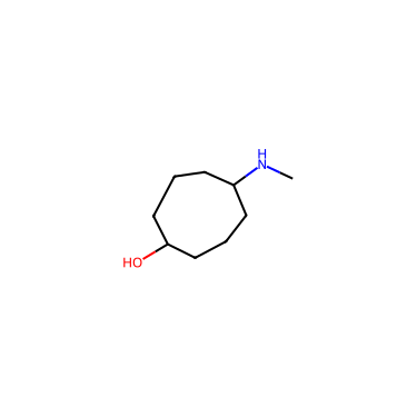 CNC1CCCC(O)CCC1